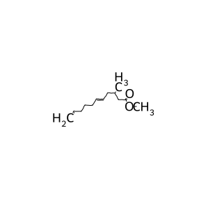 C=CCCCC=CCC(C)CC(=O)OC